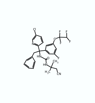 CC(C)(CC#N)NC(=O)NC(Cc1ccccc1)(c1cc(F)cc(OC(F)(F)C(F)F)c1)c1ccc(Cl)cn1